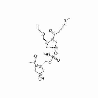 CCOC[C@@H]1C[C@@H](OP(=O)(O)OC[C@@H]2C[C@@H](O)CN2C(C)=O)CN1C(=O)CCCSC